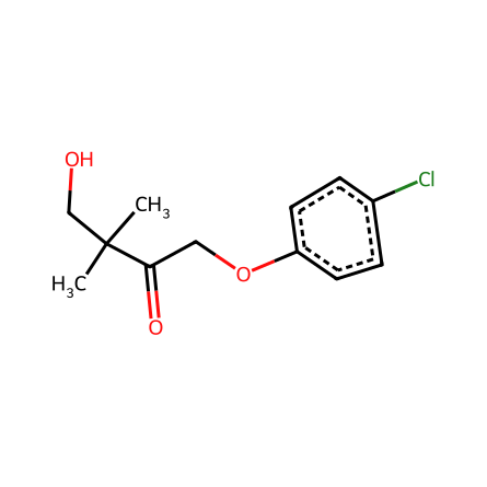 CC(C)(CO)C(=O)COc1ccc(Cl)cc1